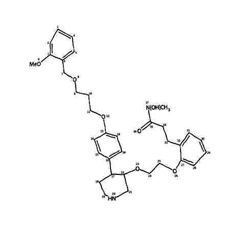 COc1ccccc1COCCCOc1ccc(C2CCNCC2OCCOc2ccccc2CCC(=O)N(C)O)cc1